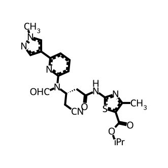 Cc1nc(NC(=O)C[C@H](CC#N)N(C=O)c2cccc(-c3cnn(C)c3)n2)sc1C(=O)OC(C)C